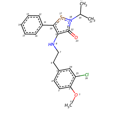 COc1ccc(CCNc2c(-c3ccccc3)sn(C(C)C)c2=O)cc1Cl